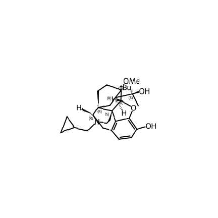 CO[C@@]12CC[C@]3(C[C@@H]1[C@](C)(O)C(C)(C)C)[C@H]1Cc4ccc(O)c5c4[C@@]3(CCN1CC1CC1)[C@H]2O5